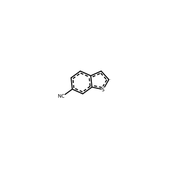 N#Cc1ccc2c[c]sc2c1